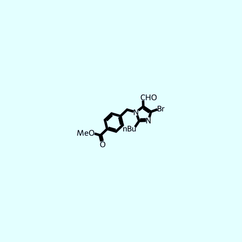 CCCCc1nc(Br)c(C=O)n1Cc1ccc(C(=O)OC)cc1